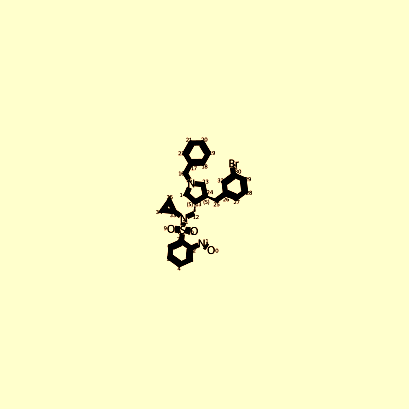 O=Nc1ccccc1S(=O)(=O)N(C[C@@H]1CN(Cc2ccccc2)C[C@H]1Cc1cccc(Br)c1)C1CC1